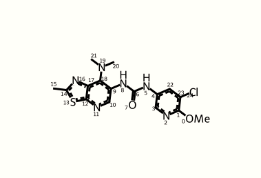 COc1ncc(NC(=O)Nc2cnc3sc(C)nc3c2N(C)C)cc1Cl